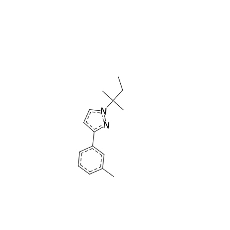 CCC(C)(C)n1ccc(-c2cccc(C)c2)n1